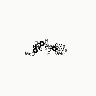 COc1ccc(NC(=O)c2cc(NC(=S)NC(O)c3cc(OC)c(OC)c(OC)c3)ccc2Cl)cc1